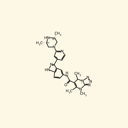 CC1=C(C(=O)Nc2ccc3[nH]nc(-c4ccnc(N5C[C@@H](C)N[C@@H](C)C5)c4)c3c2)C(C)n2nnnc2N1C